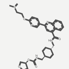 CN(C)CCOc1ccc(-c2cc(C(=O)NC[C@H]3CC[C@H](CNC(=O)O[C@H]4CCOC4)CC3)c3ccccc3n2)cn1